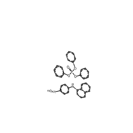 CCCCCCCCc1ccc(Nc2cccc3ccccc23)cc1.O=P(Oc1ccccc1)(Oc1ccccc1)Oc1ccccc1